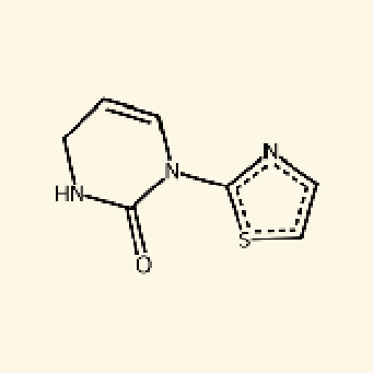 O=C1NCC=CN1c1nccs1